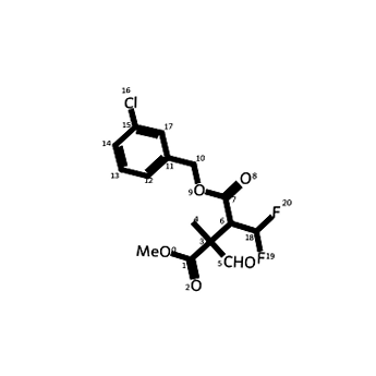 COC(=O)C(C)(C=O)C(C(=O)OCc1cccc(Cl)c1)C(F)F